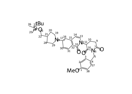 COc1ccc(CN2C(=O)CCC(n3ccc4cc(N5CCC(CO[Si](C)(C)C(C)(C)C)CC5)ccc4c3=O)C2=O)cc1